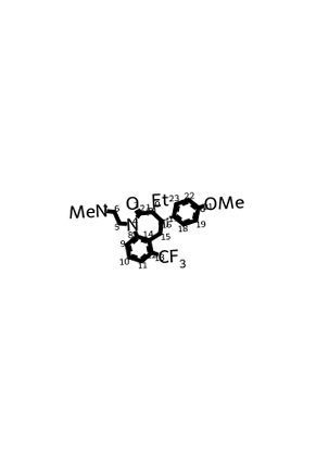 CC[C@H]1C(=O)N(CCNC)c2cccc(C(F)(F)F)c2C[C@H]1c1ccc(OC)cc1